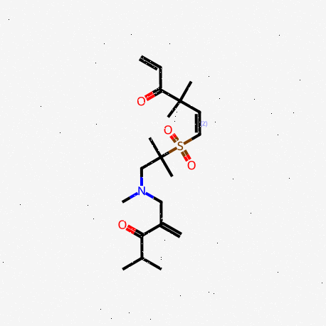 C=CC(=O)C(C)(C)/C=C\S(=O)(=O)C(C)(C)CN(C)CC(=C)C(=O)C(C)C